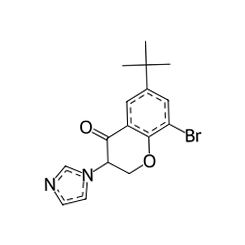 CC(C)(C)c1cc(Br)c2c(c1)C(=O)C(n1ccnc1)CO2